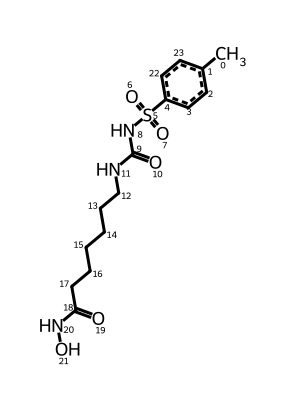 Cc1ccc(S(=O)(=O)NC(=O)NCCCCCCC(=O)NO)cc1